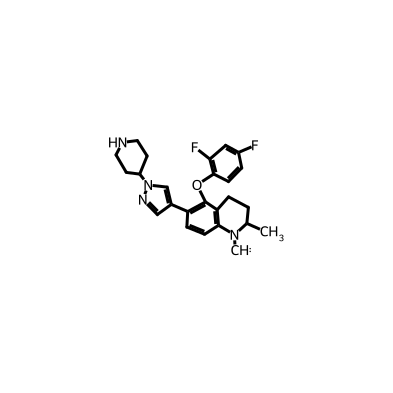 [CH]N1c2ccc(-c3cnn(C4CCNCC4)c3)c(Oc3ccc(F)cc3F)c2CCC1C